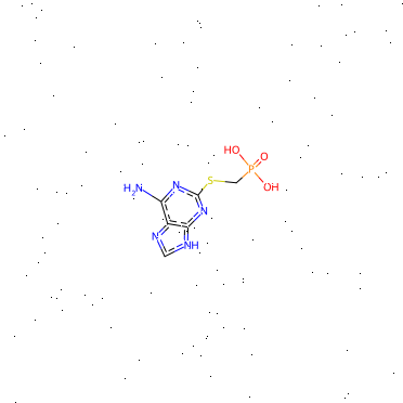 Nc1nc(SCP(=O)(O)O)nc2[nH]cnc12